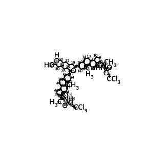 C[C@H](NC(=O)OCC(Cl)(Cl)Cl)[C@H]1CCC2C3CC=C4C[C@@H](C(CCCCCO)OC(CCCCCO)[C@H]5CC[C@@]6(C)C(=CCC7C6CC[C@@]6(C)C7CC[C@@H]6[C@H](C)NC(=O)OCC(Cl)(Cl)Cl)C5)CC[C@]4(C)C3CC[C@@]21C